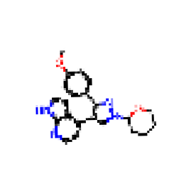 COc1ccc(-c2nn(C3CCCCO3)cc2-c2ccnc3[nH]ccc23)cc1